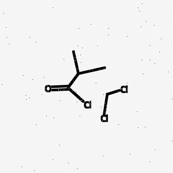 CC(C)C(=O)Cl.ClCCl